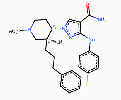 N#C[C@]1(CCCc2ccccc2)CN(C(=O)O)CC[C@@H]1n1cc(C(N)=O)c(Nc2ccc(F)cc2)n1